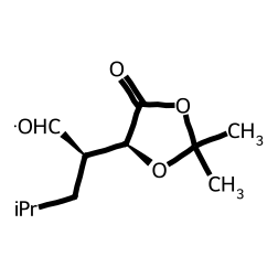 CC(C)C[C@@H]([C]=O)[C@@H]1OC(C)(C)OC1=O